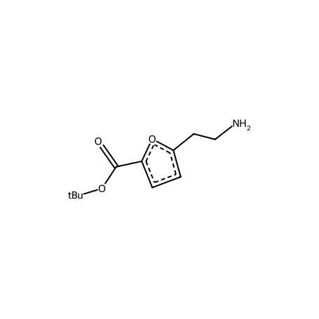 CC(C)(C)OC(=O)c1ccc(CCN)o1